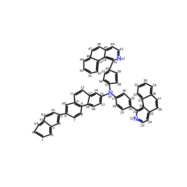 c1ccc2cc(-c3ccc4c(ccc5cc(N(c6ccc(-c7nccc8ccc9ccccc9c78)cc6)c6ccc(-c7nccc8ccc9ccccc9c78)cc6)ccc54)c3)ccc2c1